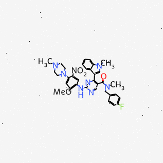 COc1cc(N2CCN(C)CC2)c([N+](=O)[O-])cc1Nc1ncc(C(=O)N(C)Cc2ccc(F)cc2)c(-c2cn(C)c3ccccc23)n1